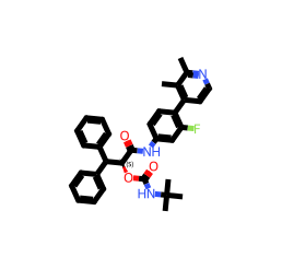 Cc1nccc(-c2ccc(NC(=O)[C@@H](OC(=O)NC(C)(C)C)C(c3ccccc3)c3ccccc3)cc2F)c1C